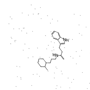 C=C(CCc1c[nH]c2ccccc12)NCCCC1CCCCC1C